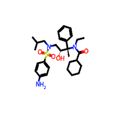 CCN(C(=O)C1CCCCC1)[C@@](C)(c1ccccc1)[C@H](O)CN(CC(C)C)S(=O)(=O)c1ccc(N)cc1